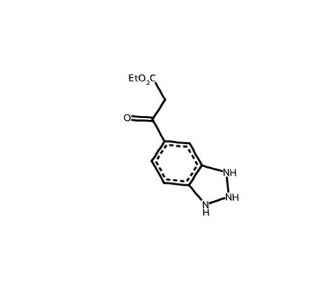 CCOC(=O)CC(=O)c1ccc2c(c1)NNN2